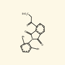 CCOC(=O)CC(=S)c1cccc2c1C(=O)N(c1c(C(C)C)cccc1C(C)C)C2=O